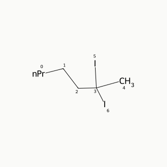 CCCCCC(C)(I)I